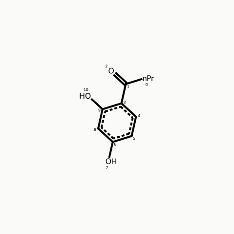 CCCC(=O)c1ccc(O)cc1O